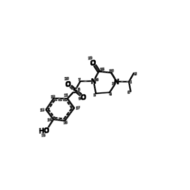 CC(C)N1CCN(CS(=O)(=O)c2ccc(O)cc2)C(=O)C1